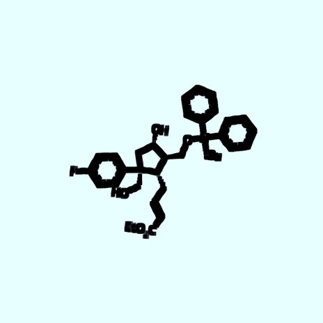 CCOC(=O)/C=C/C[C@H]1[C@H](CO[Si](c2ccccc2)(c2ccccc2)C(C)(C)C)[C@@H](O)C[C@]1(CO)c1ccc(F)cc1